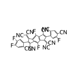 N#CC(C#N)=C1C(c2cc(F)c(F)cc2C#N)=C(C#N)c2c(F)c3c(c(F)c21)C(C#N)=C(c1cc(F)c(C#N)cc1C#N)C3=C(C#N)C#N